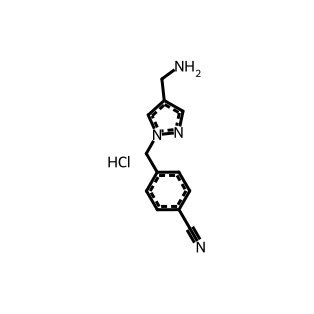 Cl.N#Cc1ccc(Cn2cc(CN)cn2)cc1